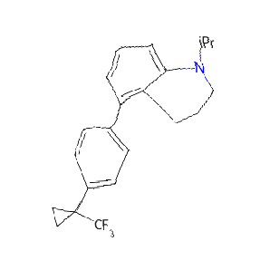 CC(C)N1CCCc2c(-c3ccc(C4(C(F)(F)F)CC4)cc3)cccc21